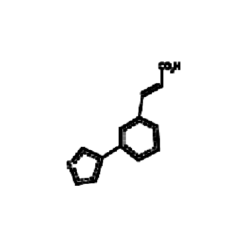 O=C(O)/C=C/c1cccc(-c2ccsc2)c1